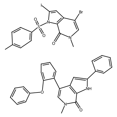 Cc1ccc(S(=O)(=O)n2c(I)cc3c(Br)cn(C)c(=O)c32)cc1.Cn1cc(-c2ccccc2Oc2ccccc2)c2cc(-c3ccccc3)[nH]c2c1=O